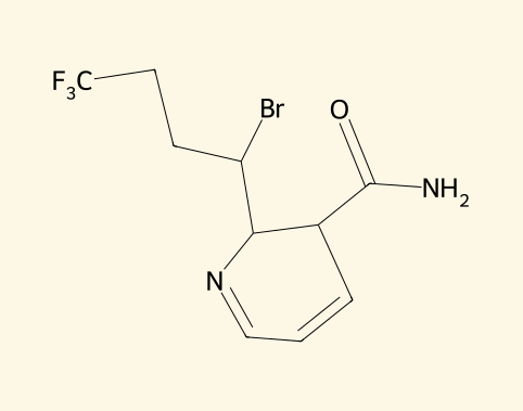 NC(=O)C1C=CC=NC1C(Br)CCC(F)(F)F